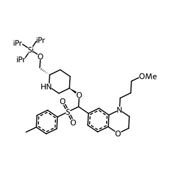 COCCCN1CCOc2ccc(C(O[C@@H]3CC[C@@H](CO[Si](C(C)C)(C(C)C)C(C)C)NC3)S(=O)(=O)c3ccc(C)cc3)cc21